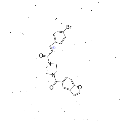 O=C(/C=C/c1ccc(Br)cc1)N1CCN(C(=O)c2ccc3occc3c2)CC1